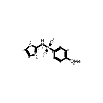 COc1ccc(S(=O)(=O)Nc2nccs2)cc1